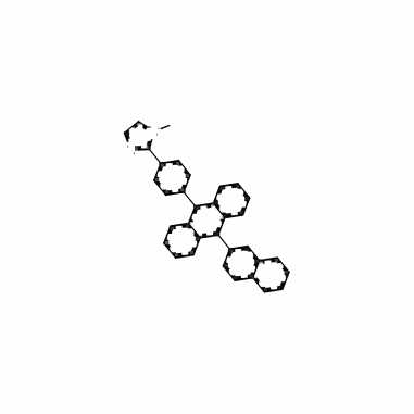 Cn1ccnc1-c1ccc(-c2c3ccccc3c(-c3ccc4ccccc4c3)c3ccccc23)cc1